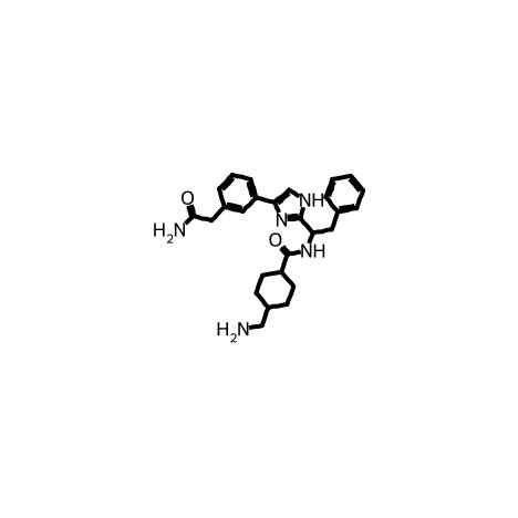 NCC1CCC(C(=O)NC(Cc2ccccc2)c2nc(-c3cccc(CC(N)=O)c3)c[nH]2)CC1